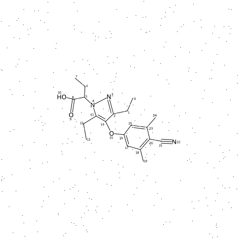 CCc1nn(C(CC)C(=O)O)c(CC)c1Oc1cc(C)c(C#N)c(C)c1